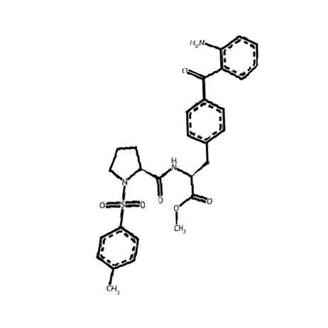 COC(=O)[C@H](Cc1ccc(C(=O)c2ccccc2N)cc1)NC(=O)[C@@H]1CCCN1S(=O)(=O)c1ccc(C)cc1